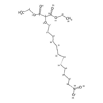 CCOC(=O)C(OCCCCCCCCCCCC[N+](=O)[O-])C(=O)OCC